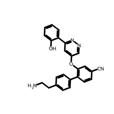 N#Cc1ccc(-c2ccc(CCN)cc2)c(Oc2cnnc(-c3ccccc3O)c2)c1